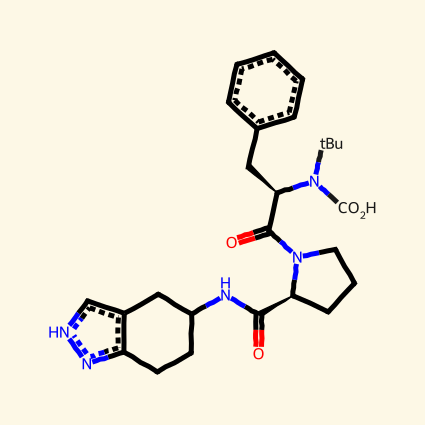 CC(C)(C)N(C(=O)O)[C@H](Cc1ccccc1)C(=O)N1CCC[C@H]1C(=O)NC1CCc2n[nH]cc2C1